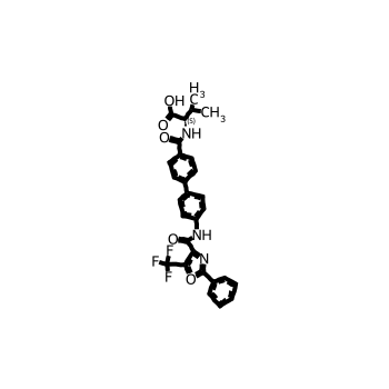 CC(C)[C@H](NC(=O)c1ccc(-c2ccc(NC(=O)c3nc(-c4ccccc4)oc3C(F)(F)F)cc2)cc1)C(=O)O